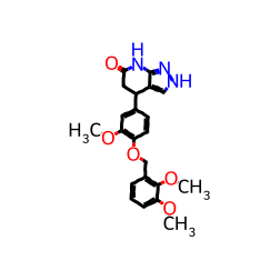 COc1cc(C2CC(=O)Nc3n[nH]cc32)ccc1OCc1cccc(OC)c1OC